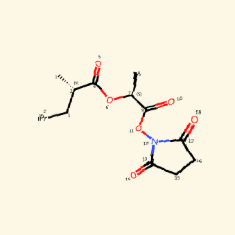 CC(C)C[C@H](C)C(=O)O[C@@H](C)C(=O)ON1C(=O)CCC1=O